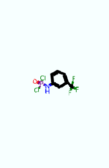 O=P(Cl)(Cl)Nc1cccc(C(F)(F)F)c1